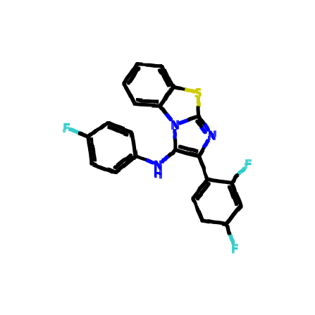 FC1=CC(F)CC=C1c1nc2sc3ccccc3n2c1Nc1ccc(F)cc1